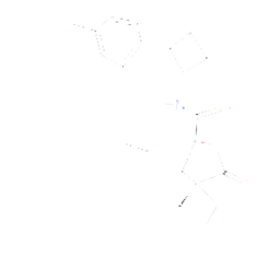 CCC[C@@]1(C(=O)N[C@H]2CC[C@H]2c2ccc(Cl)cc2)C[C@@](C)(COC)C(=O)O1